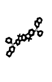 CC1(C)c2cc(N(c3ccccc3)c3ccc4ccccc4c3)ccc2-c2cc3c(cc21)-c1ccc(N(c2ccccc2)c2ccc4ccccc4c2)cc1C3(C)C